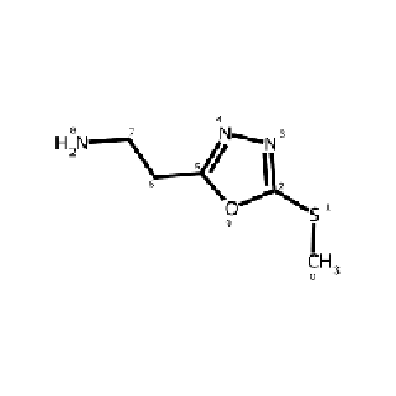 CSc1nnc(CCN)o1